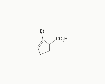 CCC1=CCCC1C(=O)O